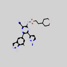 Cn1ccc(-c2nc(NS(=O)(=O)CCC3CCOCC3)c(C#N)nc2-c2cc(Cl)c3[nH]ncc3c2)n1